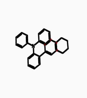 c1ccc(N(c2ccccc2)c2ccccc2-c2ccc3c(c2)C2CCC3CC2)cc1